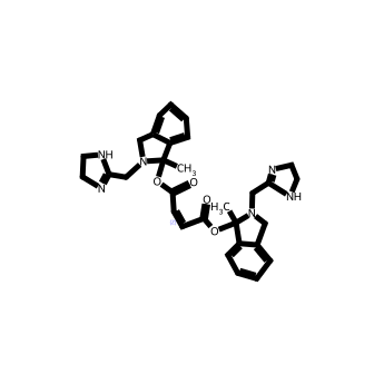 CC1(OC(=O)/C=C\C(=O)OC2(C)c3ccccc3CN2CC2=NCCN2)c2ccccc2CN1CC1=NCCN1